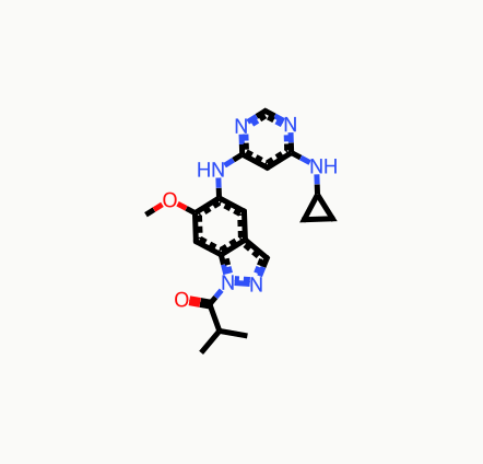 COc1cc2c(cnn2C(=O)C(C)C)cc1Nc1cc(NC2CC2)ncn1